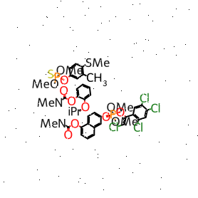 CNC(=O)Oc1cccc2ccccc12.CNC(=O)Oc1ccccc1OC(C)C.COP(=O)(OC)O/C(=C\Cl)c1cc(Cl)c(Cl)cc1Cl.COP(=S)(OC)Oc1ccc(SC)c(C)c1